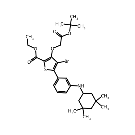 CCOC(=O)c1sc(-c2cccc(NC3CC(C)(C)CC(C)(C)C3)c2)c(Br)c1OCC(=O)OC(C)(C)C